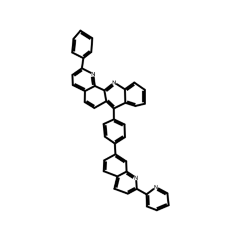 c1ccc(-c2ccc3ccc4c(-c5ccc(-c6ccc7ccc(-c8ccccn8)nc7c6)cc5)c5ccccc5nc4c3n2)cc1